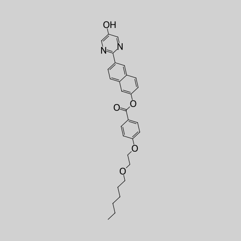 CCCCCCOCCOc1ccc(C(=O)Oc2ccc3cc(-c4ncc(O)cn4)ccc3c2)cc1